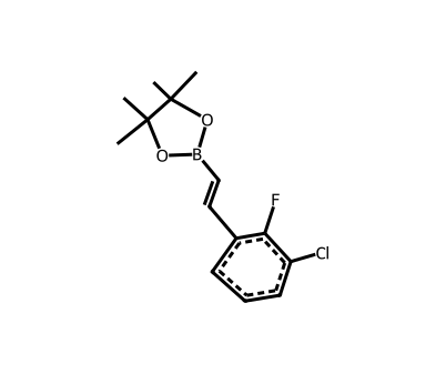 CC1(C)OB(/C=C/c2cccc(Cl)c2F)OC1(C)C